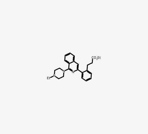 CCOC(=O)CCc1ccccc1-c1cc2ccccc2c(N2CCN(CC)CC2)n1